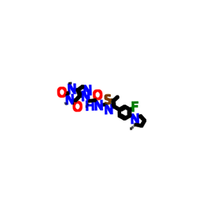 Cc1sc(NC(=O)[C@H](C)n2ncc3c2c(=O)n(C)c(=O)n3C)nc1-c1ccc(N2CCC[C@@H]2C)c(F)c1